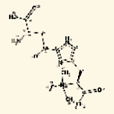 CC(=O)[C@H](Cc1c[nH]c([S+]([O-])C[C@H](N)C(=O)O)n1)[N+](C)(C)C